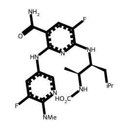 CNc1ncc(Nc2nc(N[C@@H](CC(C)C)[C@H](C)NC(=O)O)c(F)cc2C(N)=O)cc1F